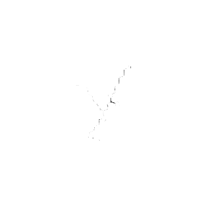 CCCCCCOC(CCC(=O)OCCCCCCBr)OCCCCCC